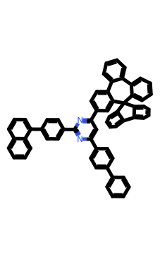 c1ccc(-c2ccc(-c3cc(-c4ccc5c(c4)C4(c6ccccc6-c6ccccc6-5)c5ccccc5-c5ccccc54)nc(-c4ccc(-c5cccc6ccccc56)cc4)n3)cc2)cc1